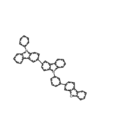 c1ccc(-n2c3ccccc3c3cc(-c4ccc5c(c4)c4ccccc4n5-c4cccc(-c5ccc6c(c5)oc5ccccc56)c4)ccc32)cc1